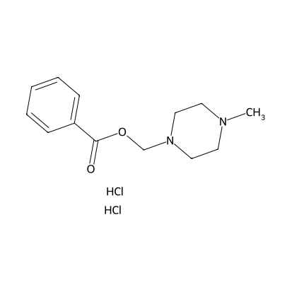 CN1CCN(COC(=O)c2ccccc2)CC1.Cl.Cl